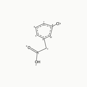 O=C(O)Cc1cc[c]c(Cl)c1